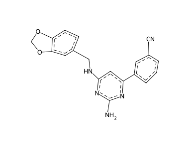 N#Cc1cccc(-c2cc(NCc3ccc4c(c3)OCO4)nc(N)n2)c1